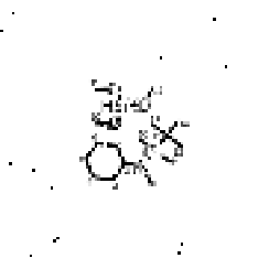 CN(C1CCCCC1)[Si](C)(C)C(C)(C)C.CO[SiH](OC)OC